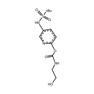 CCCCS(=O)(=O)Nc1ccc(OC(=O)NCCO)nc1